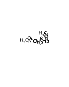 Cc1nc(-c2ccc(N3CCCC(Cc4ccccc4N4CCN(C)CC4)C3C=O)cc2)co1